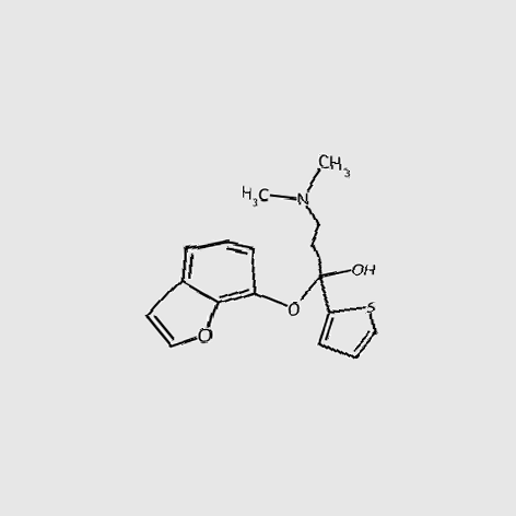 CN(C)CCC(O)(Oc1cccc2ccoc12)c1cccs1